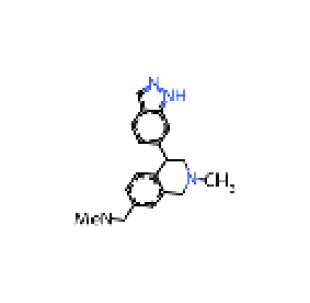 CNCc1ccc2c(c1)CN(C)CC2c1ccc2cn[nH]c2c1